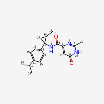 Cc1nc(C(=O)NC2(c3ccc(C(C)C)cc3)CC2C)cc(=O)[nH]1